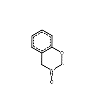 [O-][NH+]1[CH]Oc2ccccc2C1